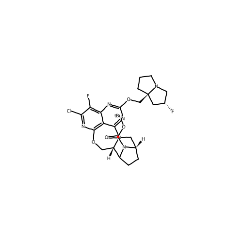 CC(C)(C)OC(=O)N1C2CC[C@H]1CN1c3nc(OC[C@@]45CCCN4C[C@H](F)C5)nc4c(F)c(Cl)nc(c34)OC[C@@H]21